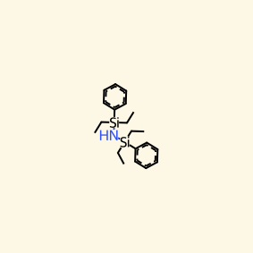 CC[Si](CC)(N[Si](CC)(CC)c1ccccc1)c1ccccc1